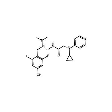 CN(C)[C@H](CNC(=O)C[C@H](c1ccncc1)C1CC1)Cc1c(F)cc(O)cc1F